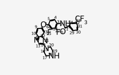 O=C(Nc1ccc(Oc2ccc3ncc(N4CCNCC4)nc3c2)c(F)c1F)c1cccc(C(F)(F)F)c1